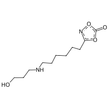 O=c1onc(CCCCCCNCCCO)o1